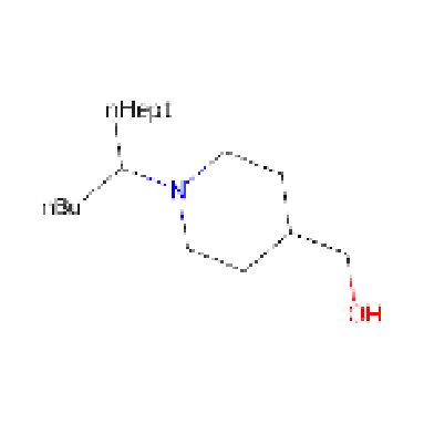 CCCCCCCC(CCCC)N1CCC(CO)CC1